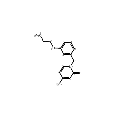 COCCOc1cccc(Cn2ccc(Br)cc2=O)c1